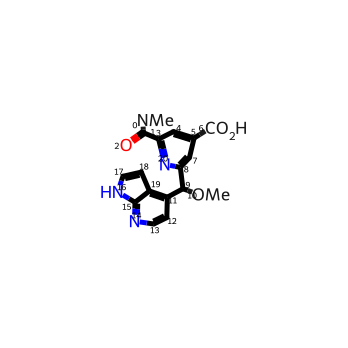 CNC(=O)c1cc(C(=O)O)cc(C(OC)c2ccnc3[nH]ccc23)n1